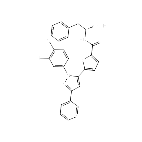 O=C(N[C@@H](Cc1ccccc1)C(=O)O)c1ccc(-c2cc(-c3cccnc3)nn2-c2ccc(Cl)c(Cl)c2)s1